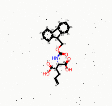 C=CCC(C(=O)O)[C@H](NC(=O)OCC1c2ccccc2-c2ccccc21)C(=O)O